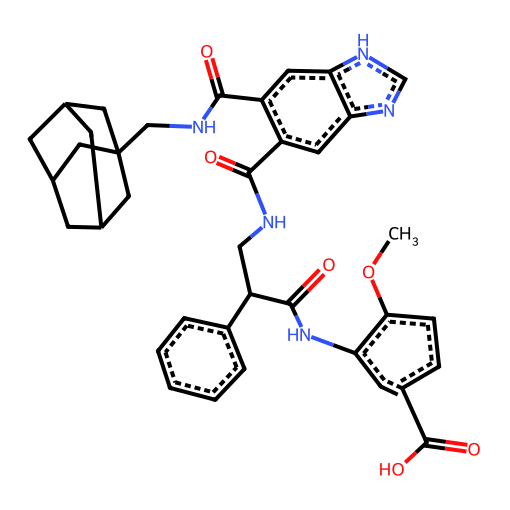 COc1ccc(C(=O)O)cc1NC(=O)C(CNC(=O)c1cc2nc[nH]c2cc1C(=O)NCC12CC3CC(CC(C3)C1)C2)c1ccccc1